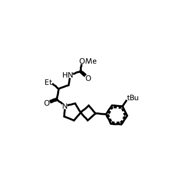 CCC(CNC(=O)OC)C(=O)N1CCC2(CC(c3cccc(C(C)(C)C)c3)C2)C1